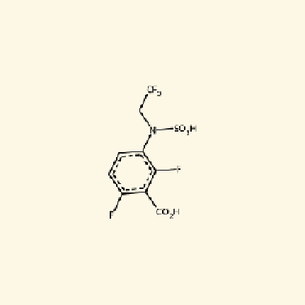 O=C(O)c1c(F)ccc(N(CC(F)(F)F)S(=O)(=O)O)c1F